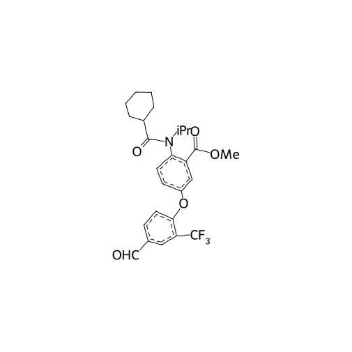 COC(=O)c1cc(Oc2ccc(C=O)cc2C(F)(F)F)ccc1N(C(=O)C1CCCCC1)C(C)C